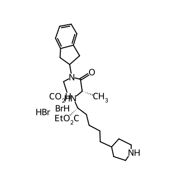 Br.Br.CCOC(=O)[C@@H](CCCCC1CCNCC1)N[C@@H](C)C(=O)N(CC(=O)O)C1Cc2ccccc2C1